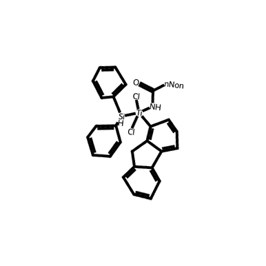 CCCCCCCCCC(=O)[NH][Ti]([Cl])([Cl])([c]1cccc2c1Cc1ccccc1-2)[SiH](c1ccccc1)c1ccccc1